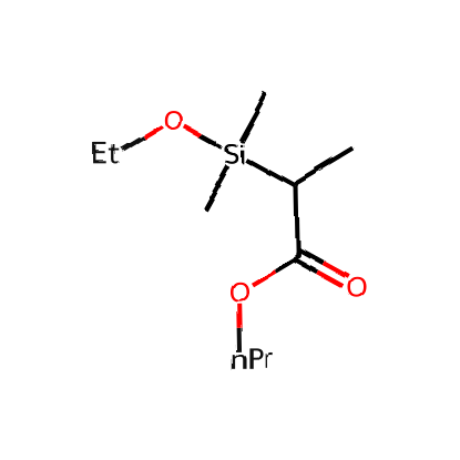 CCCOC(=O)C(C)[Si](C)(C)OCC